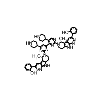 C[C@@H]1c2c([nH]c3nnc(-c4ccccc4O)cc23)CCN1c1ncc(C2CCNCC2)c(-c2cc(C3CCNCC3)nc(N3CCc4[nH]c5nnc(-c6ccccc6O)cc5c4[C@@H]3C)n2)n1